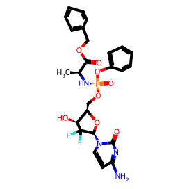 C[C@H](N[P@](=O)(OC[C@H]1O[C@@H](n2ccc(N)nc2=O)C(F)(F)[C@H]1O)Oc1ccccc1)C(=O)OCc1ccccc1